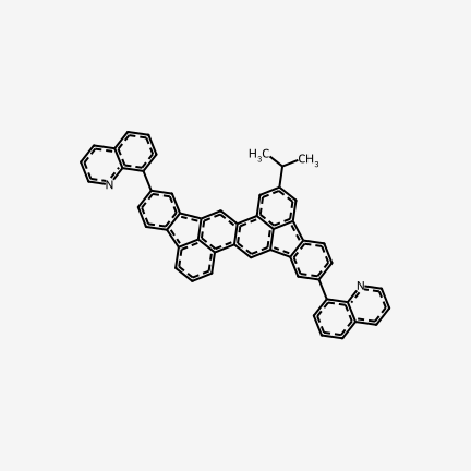 CC(C)c1cc2c3ccc(-c4cccc5cccnc45)cc3c3cc4c(cc5c6cc(-c7cccc8cccnc78)ccc6c6cccc4c65)c(c1)c23